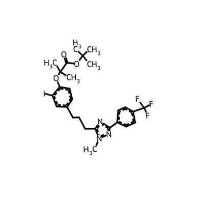 Cn1nc(-c2ccc(C(F)(F)F)cc2)nc1CCCc1ccc(OC(C)(C)C(=O)OC(C)(C)C)c(I)c1